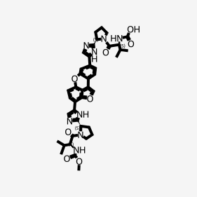 COC(=O)N[C@H](C(=O)N1CCC[C@H]1c1ncc(-c2ccc3c4c(coc24)-c2ccc(-c4cnc([C@@H]5CCCN5C(=O)[C@@H](NC(=O)O)C(C)C)[nH]4)cc2O3)[nH]1)C(C)C